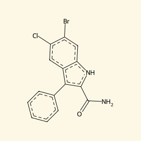 NC(=O)c1[nH]c2cc(Br)c(Cl)cc2c1-c1ccccc1